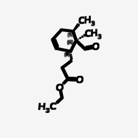 CCOC(=O)CC[C@@H]1C=CC[C@@H](C)[C@@]1(C)C=O